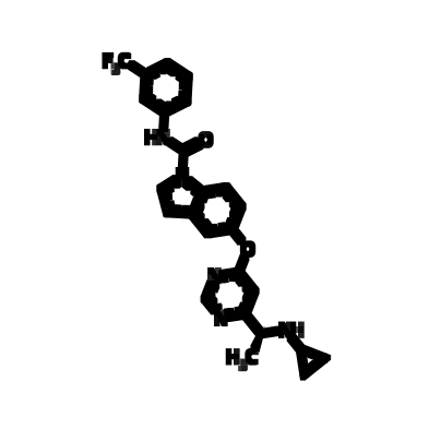 C[C@H](NC1CC1)c1cc(Oc2ccc3c(ccn3C(=O)Nc3cccc(C(F)(F)F)c3)c2)ncn1